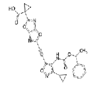 CC(OC(=O)Nc1c(C2CC2)noc1C#Cc1nc2oc(C3(C(=O)O)CC3)nc2o1)c1ccccc1